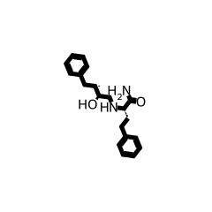 NC(=O)[C@H](CCc1ccccc1)NC[C@@H](O)[CH]Cc1ccccc1